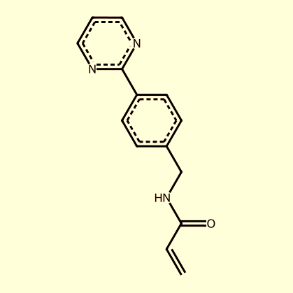 C=CC(=O)NCc1ccc(-c2ncccn2)cc1